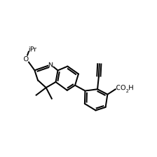 C#Cc1c(C(=O)O)cccc1-c1ccc2c(c1)C(C)(C)CC(OC(C)C)=N2